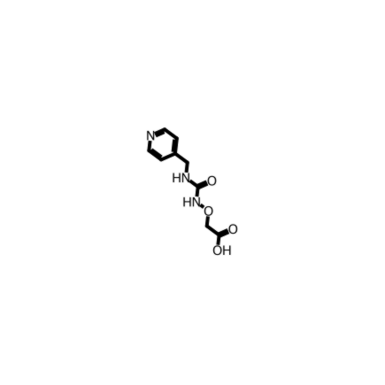 O=C(O)CONC(=O)NCc1ccncc1